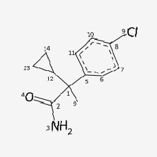 CC(C(N)=O)(c1ccc(Cl)cc1)C1CC1